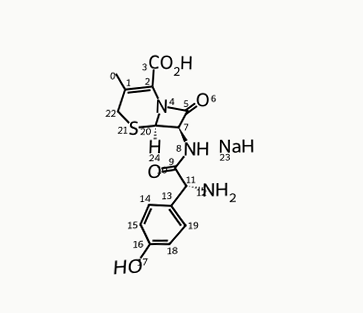 CC1=C(C(=O)O)N2C(=O)[C@@H](NC(=O)[C@H](N)c3ccc(O)cc3)[C@H]2SC1.[NaH]